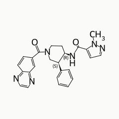 Cn1nccc1C(=O)N[C@@H]1CCN(C(=O)c2ccc3nccnc3c2)C[C@@H]1c1ccccc1